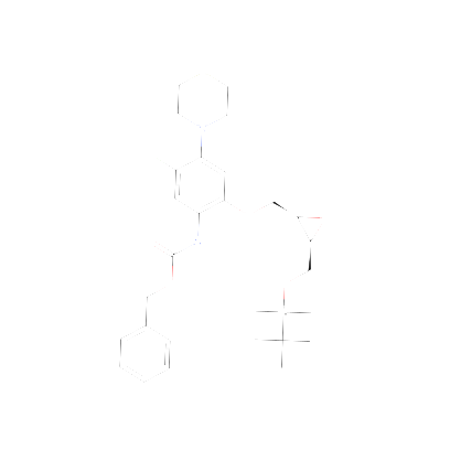 CC(C)(C)[Si](C)(C)OC[C@@H]1O[C@@H]1COc1cc(N2CCSCC2)c(F)cc1NC(=O)OCc1ccccc1